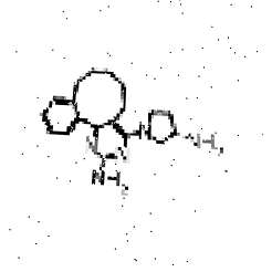 Nc1nc2c(c(N3CC[C@H](N)C3)n1)CCCCCc1ccccc1-2